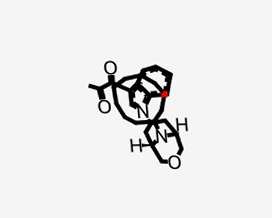 CC(=O)C(=O)c1cn([C@H]2C[C@H]3COC[C@@H](C2)N3C2CCCCCCCCC2)c2ccccc12